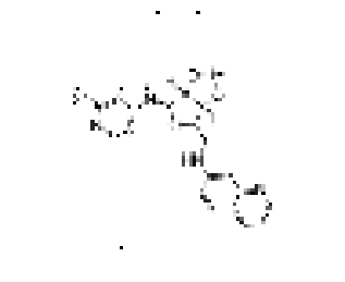 CC1(C)O[C@@H]2[C@H](O1)[C@@H](CNc1ccc3cccnc3c1)O[C@H]2n1ccc2c(Cl)ncnc21